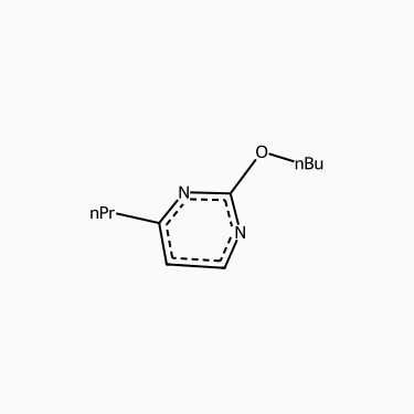 CCCCOc1nccc(CCC)n1